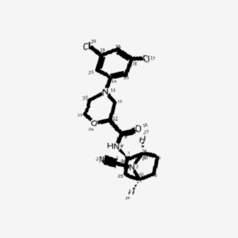 N#CN1[C@H]2CC[C@@H]1[C@H](NC(=O)C1CN(c3cc(Cl)cc(Cl)c3)CCO1)C2